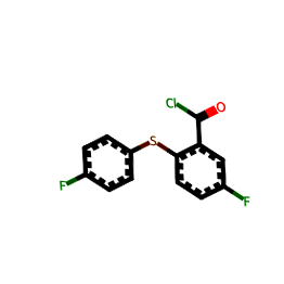 O=C(Cl)c1cc(F)ccc1Sc1ccc(F)cc1